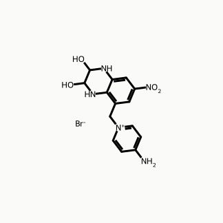 Nc1cc[n+](Cc2cc([N+](=O)[O-])cc3c2NC(O)C(O)N3)cc1.[Br-]